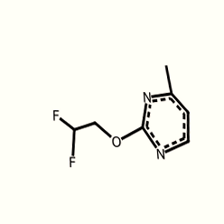 Cc1ccnc(OCC(F)F)n1